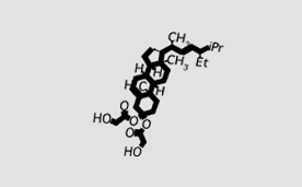 CC[C@H](/C=C/[C@@H](C)[C@H]1CC[C@H]2[C@@H]3CC=C4CC(OC(=O)CO)(OC(=O)CO)CC[C@]4(C)[C@H]3CC[C@]12C)C(C)C